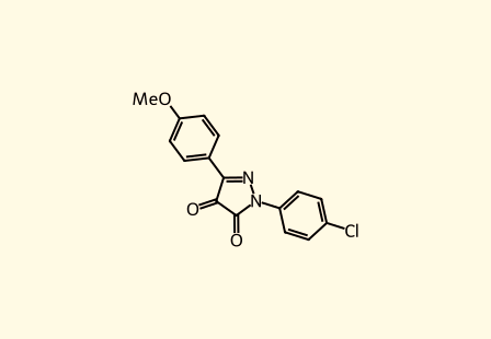 COc1ccc(C2=NN(c3ccc(Cl)cc3)C(=O)C2=O)cc1